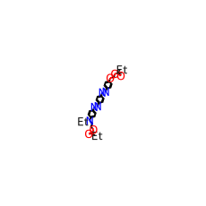 CCC(=O)OCCN(CC)c1ccc(N=Nc2ccc(N=Nc3ccc(OCOC(=O)CC)cc3)cc2)cc1